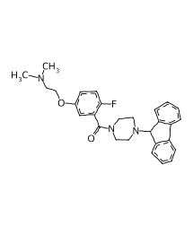 CN(C)CCOc1ccc(F)c(C(=O)N2CCN(C3c4ccccc4-c4ccccc43)CC2)c1